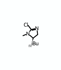 CC[C@H](C)C1CN=C(Cl)N1C